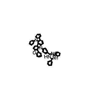 c1ccc(C2NC(c3ccccc3)NC(c3ccc(-n4c5ccc6c7ccccc7n(-c7ccccc7)c6c5c5ccc6oc7ccccc7c6c54)cc3)N2)cc1